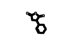 O=C1CC(C2C=CCCC2)C(=O)O1